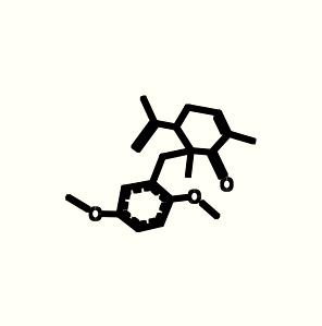 C=C(C)C1CC=C(C)C(=O)C1(C)Cc1cc(OC)ccc1OC